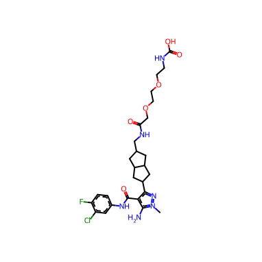 Cn1nc(C2CC3CC(CNC(=O)COCCOCCNC(=O)O)CC3C2)c(C(=O)Nc2ccc(F)c(Cl)c2)c1N